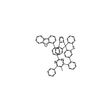 Cc1c(-c2ccccc2)nc(-c2ccc(-c3cccc4c3oc3ccccc34)cc2)nc1-c1ccccc1-c1ccc2c(c1)Sc1ccccc1C21c2ccccc2-c2ccccc21